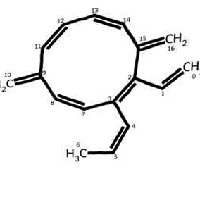 C=Cc1c(/C=C\C)ccc(=C)ccccc1=C